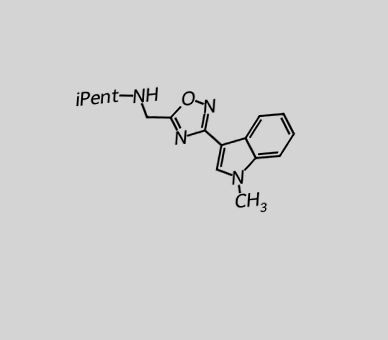 CCCC(C)NCc1nc(-c2cn(C)c3ccccc23)no1